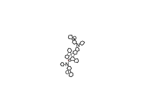 c1ccc(N(c2ccc3cc4c(cc3c2)C2(c3ccccc3-c3ccccc32)c2c-4c3ccccc3c3cc(N(c4ccccc4)c4ccc5c(c4)oc4ccccc45)ccc23)c2ccc3c(c2)oc2ccccc23)cc1